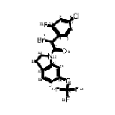 O=C(C(Br)c1ccc(Cl)cc1F)N1CCc2ccc(OC(F)(F)F)cc21